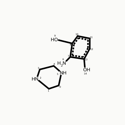 C1CNCCN1.Nc1c(O)cccc1O